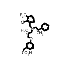 C[C@@H](COc1cccc(CC(=O)O)c1)CN(Cc1cccc(C(F)(F)F)c1Cl)C[C@H](C)c1ccccc1